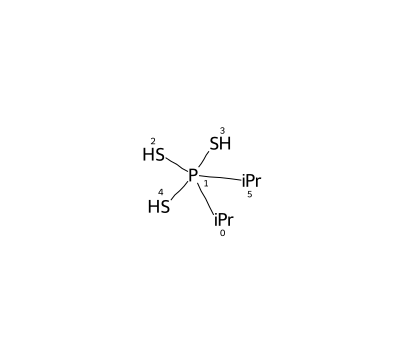 CC(C)P(S)(S)(S)C(C)C